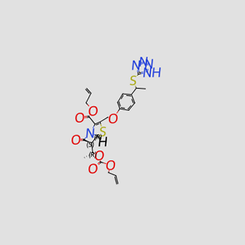 C=CCOC(=O)O[C@H](C)[C@H]1C(=O)N2C(C(=O)OCC=C)=C(COc3ccc(C(C)Sc4nnn[nH]4)cc3)S[C@H]12